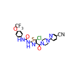 N#Cc1ccc(N2CCN(C(=O)c3nc(NC(=O)Nc4ccc(OC(F)(F)F)cc4)sc3Cl)CC2)nc1